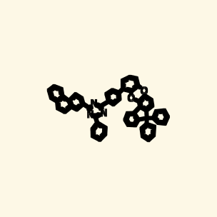 c1ccc(-c2nc(-c3ccc(-c4cccc5c4Oc4c(ccc6c4-c4ccccc4C6(c4ccccc4)c4ccccc4)O5)cc3)nc(-c3ccc4c(ccc5ccccc54)c3)n2)cc1